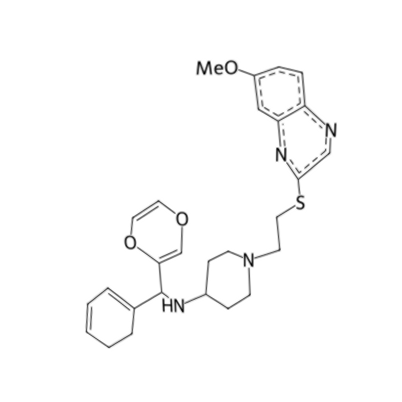 COc1ccc2ncc(SCCN3CCC(NC(C4=CC=CCC4)C4=COC=CO4)CC3)nc2c1